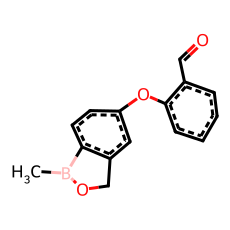 CB1OCc2cc(Oc3ccccc3C=O)ccc21